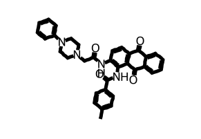 Cc1ccc(C(=O)Nc2c(NC(=O)CN3CCN(c4ccccc4)CC3)ccc3c2C(=O)c2ccccc2C3=O)cc1